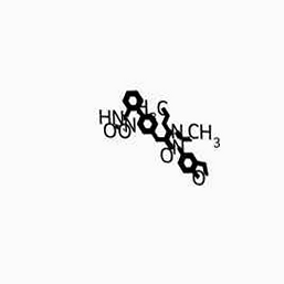 CCCc1nc(CC)n(-c2ccc3c(c2)CCO3)c(=O)c1Cc1ccc(-c2ccccc2-c2noc(=O)[nH]2)cc1